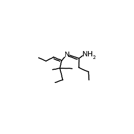 CC/C=C(/N=C(/N)CCC)C(C)(C)CC